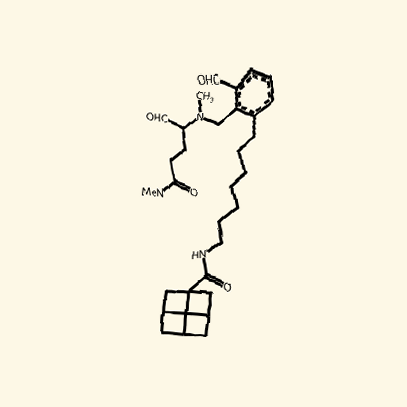 CNC(=O)CCC(C=O)N(C)Cc1c(C=O)cccc1CCCCCCCNC(=O)C12CC3CC4CC(C1)C432